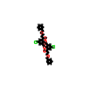 O=C(CCOCc1ccccc1)c1cc(Cl)cc2c1OC1OC2Oc2c(C(=O)CCOCc3ccccc3)cc(Cl)cc21